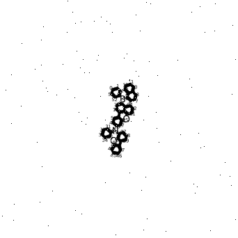 c1ccc(B(c2cccc3ccccc23)c2ccc3c4c(cccc24)Oc2cc(N(c4ccccc4)c4cccc5c4oc4ccccc45)ccc2-3)cc1